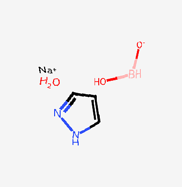 O.[Na+].[O-]BO.c1cn[nH]c1